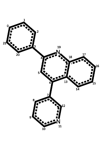 c1ccc(-c2cc(-c3cccnc3)c3ccccc3n2)cc1